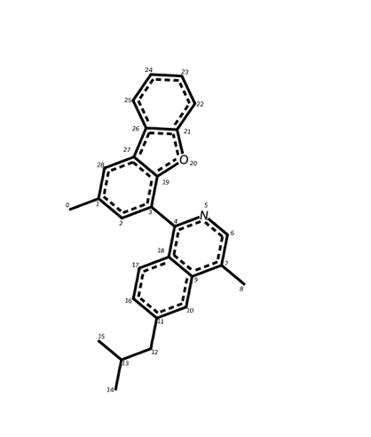 Cc1cc(-c2ncc(C)c3cc(CC(C)C)ccc23)c2oc3ccccc3c2c1